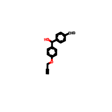 C#CCOc1ccc(C(O)c2ccc(C=O)cc2)cc1